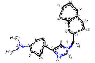 CN(C)c1ccc(-c2cn(Cc3ccc4ccccc4c3)cn2)cc1